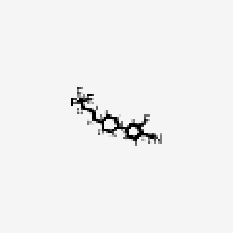 N#Cc1ccc(C2CCC(C=CCC(F)(F)F)CC2)cc1F